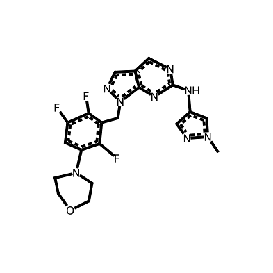 Cn1cc(Nc2ncc3cnn(Cc4c(F)c(F)cc(N5CCOCC5)c4F)c3n2)cn1